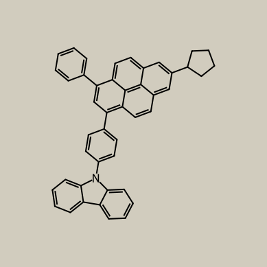 c1ccc(-c2cc(-c3ccc(-n4c5ccccc5c5ccccc54)cc3)c3ccc4cc(C5CCCC5)cc5ccc2c3c54)cc1